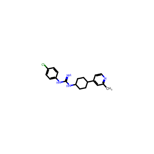 Cc1cc(C2CCC(NC(=N)Nc3ccc(Cl)cc3)CC2)ccn1